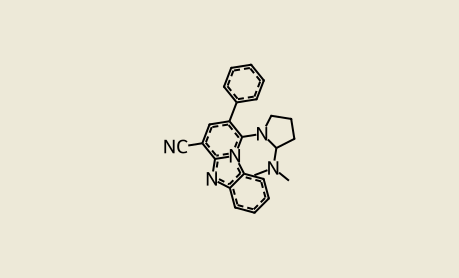 CN(C)C1CCCN1c1c(-c2ccccc2)cc(C#N)c2nc3ccccc3n12